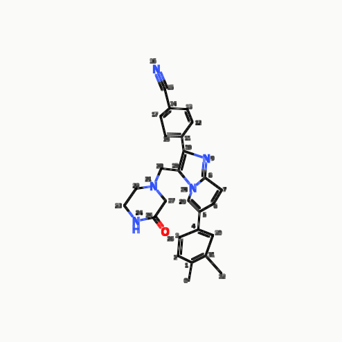 Cc1ccc(-c2ccc3nc(-c4ccc(C#N)cc4)c(CN4CCNC(=O)C4)n3c2)cc1C